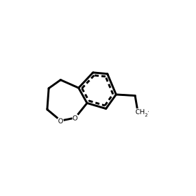 [CH2]Cc1ccc2c(c1)OOCCC2